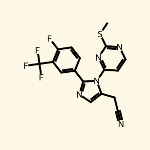 CSc1nccc(-n2c(CC#N)cnc2-c2ccc(F)c(C(F)(F)F)c2)n1